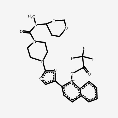 CN(C(=O)N1CCN(c2nc(-c3ccc4ccccc4[n+]3OC(=O)C(F)(F)F)cs2)CC1)C1CCOCC1